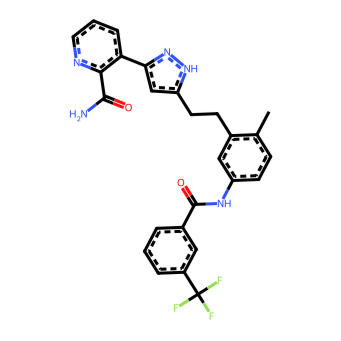 Cc1ccc(NC(=O)c2cccc(C(F)(F)F)c2)cc1CCc1cc(-c2cccnc2C(N)=O)n[nH]1